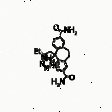 CC[C@@H](N)CC1(c2nnn[nH]2)c2ccc(C(N)=O)cc2CCc2cc(C(N)=O)ccc21